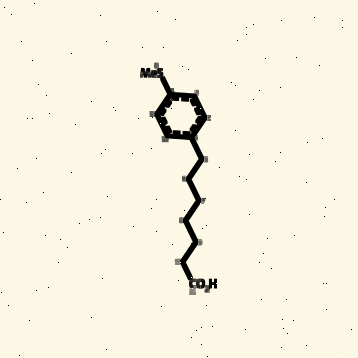 CSc1ccc(CCCCCCC(=O)O)cc1